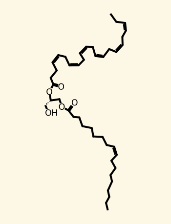 CC/C=C\C/C=C\C/C=C\C/C=C\C/C=C\C/C=C\CCC(=O)O[C@@H](CO)COC(=O)CCCCCCC/C=C\CCCCCCCC